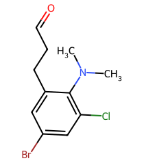 CN(C)c1c(Cl)cc(Br)cc1CCC=O